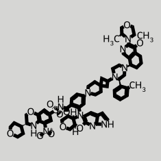 COc1c(N2CCOC[C@@H]2C)ncc2c1CCC[C@H]2N1CCN(C2CC3(CCN(c4ccc(C(=O)NS(=O)(=O)c5cc6c(c([N+](=O)[O-])c5)N[C@H](C5CCOCC5)CO6)c(N5c6cc7cc[nH]c7nc6O[C@H]6COCC[C@@H]65)c4)CC3)C2)[C@H](c2ccccc2C)C1